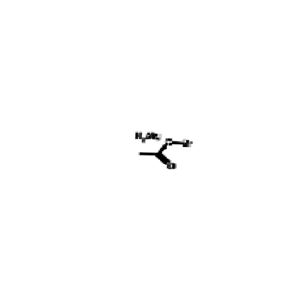 CC(=O)OBr.[MgH2]